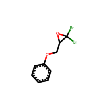 BrC1(Br)OC1COc1ccccc1